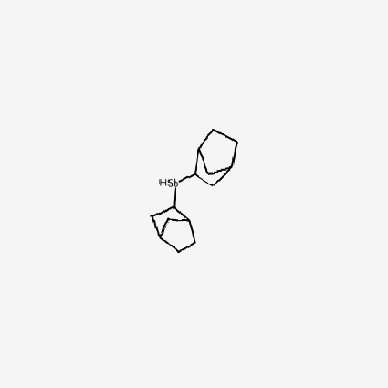 C1CC2CC1C[CH]2[SbH][CH]1CC2CCC1C2